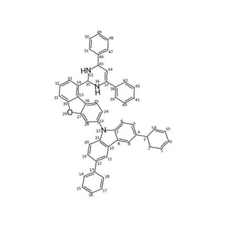 C1=CCC(c2ccc3c(c2)c2cc(-c4ccccc4)ccc2n3-c2ccc3c(c2)oc2cccc(C4NC(c5ccccc5)=CC(c5ccccc5)N4)c23)C=C1